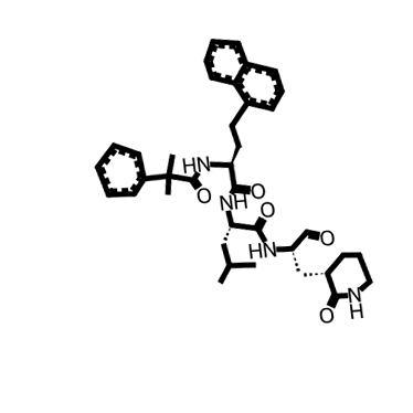 CC(C)C[C@H](NC(=O)[C@H](CCc1cccc2ccccc12)NC(=O)C(C)(C)c1ccccc1)C(=O)N[C@H](C=O)C[C@@H]1CCCNC1=O